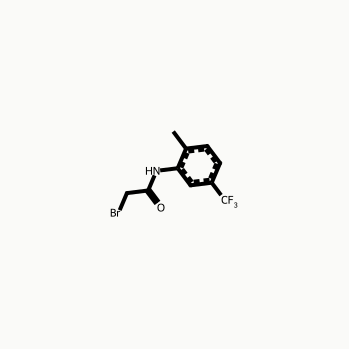 Cc1ccc(C(F)(F)F)cc1NC(=O)CBr